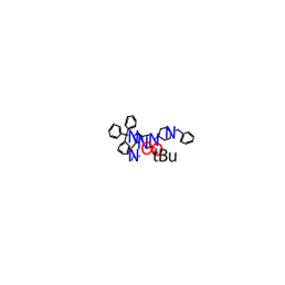 CN(C)Cc1nc(CN(C(=O)OC(C)(C)C)C2CCN(Cc3ccccc3)CC2)cn1C(c1ccccc1)(c1ccccc1)c1ccccc1